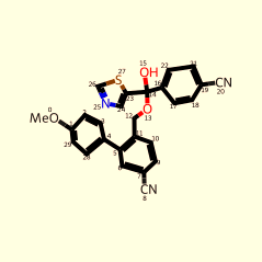 COc1ccc(-c2cc(C#N)ccc2COC(O)(c2ccc(C#N)cc2)c2cncs2)cc1